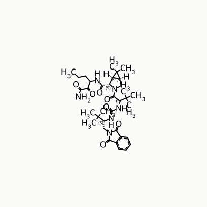 CCCC(NC(=O)[C@@H]1[C@@H]2[C@H](CN1C(=O)[C@@H](NC(=O)N[C@H](CN1C(=O)c3ccccc3C1=O)C(C)(C)C)C(C)(C)C)C2(C)C)C(=O)C(N)=O